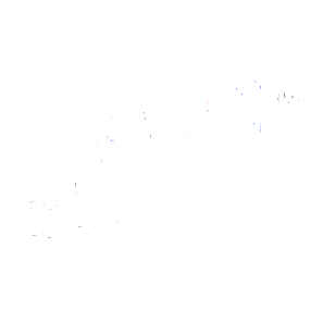 CN/N=N\C(=N)CC(=O)c1ccc(CN(C)C(=O)OCC2c3ccccc3-c3ccccc32)cc1